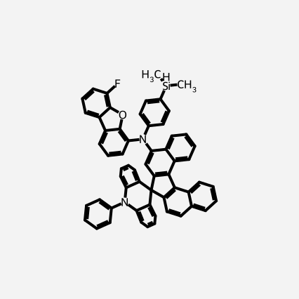 C[SiH](C)c1ccc(N(c2cc3c(c4ccccc24)-c2c(ccc4ccccc24)C32c3ccccc3N(c3ccccc3)c3ccccc32)c2cccc3c2oc2c(F)cccc23)cc1